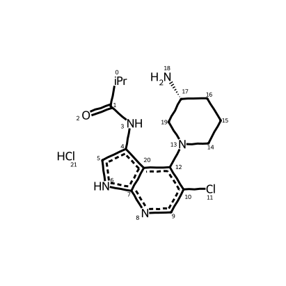 CC(C)C(=O)Nc1c[nH]c2ncc(Cl)c(N3CCC[C@@H](N)C3)c12.Cl